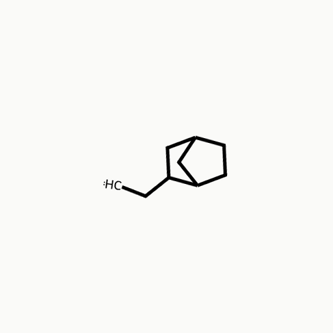 [CH]CC1CC2CCC1C2